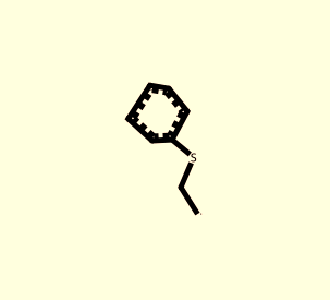 [CH2]CSc1ccccc1